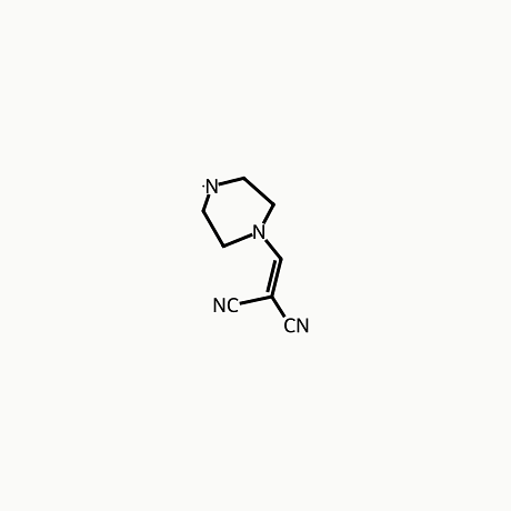 N#CC(C#N)=CN1CC[N]CC1